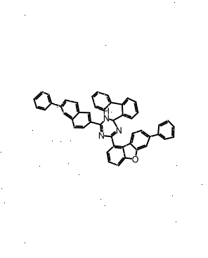 c1ccc(-c2ccc3cc(C4=NC(c5cccc6oc7cc(-c8ccccc8)ccc7c56)=NC(c5ccccc5-c5ccccc5)N4)ccc3c2)cc1